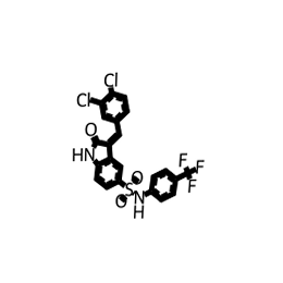 O=C1Nc2ccc(S(=O)(=O)Nc3ccc(C(F)(F)F)cc3)cc2C1=Cc1ccc(Cl)c(Cl)c1